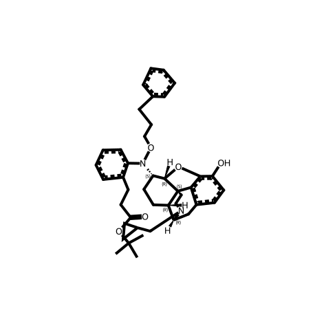 CC(C)(C)OC(=O)CCc1ccccc1N(OCCCc1ccccc1)[C@H]1CC[C@H]2[C@H]3Cc4ccc(O)c5c4[C@@]2(CCN3CC2CC2)[C@H]1O5